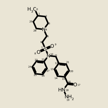 CC1CCN(CCS(=O)(=O)N(Cc2ccc(C(=O)NN)cc2)c2ccccc2)CC1